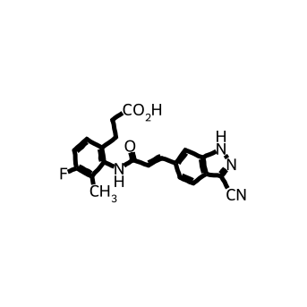 Cc1c(F)ccc(CCC(=O)O)c1NC(=O)/C=C/c1ccc2c(C#N)n[nH]c2c1